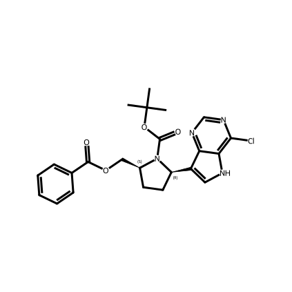 CC(C)(C)OC(=O)N1[C@H](COC(=O)c2ccccc2)CC[C@@H]1c1c[nH]c2c(Cl)ncnc12